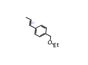 C/C=C/c1ccc(COCC)cc1